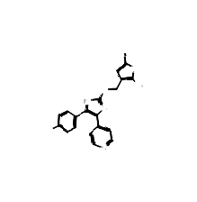 Cc1cc(CSc2nc(-c3ccncc3)c(-c3ccc(F)cc3)[nH]2)c(O)s1